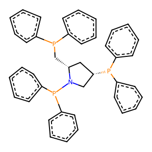 c1ccc(P(C[C@@H]2C[C@H](P(c3ccccc3)c3ccccc3)CN2P(c2ccccc2)c2ccccc2)c2ccccc2)cc1